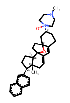 CN1CC[N+]([O-])([C@@H]2CCC3=CC4=CC[C@]5(C)[C@@H](c6ccc7ccccc7c6)CC[C@H]5C45CC[C@]3(C2)O5)CC1